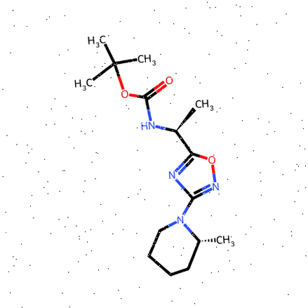 C[C@H](NC(=O)OC(C)(C)C)c1nc(N2CCCC[C@H]2C)no1